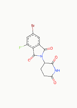 O=C1CCC(N2C(=O)c3cc(Br)cc(F)c3C2=O)C(=O)N1